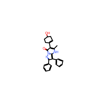 Cc1[nH]c2c(-c3ccccc3)c(-c3ccccc3)nn2c(=O)c1C1=CCC(O)CC1